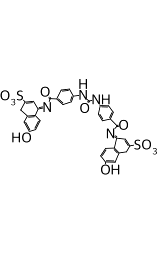 O=C(Nc1ccc(C(=O)N=C2C=C(S(=O)(=O)O)Cc3cc(O)ccc32)cc1)Nc1ccc(C(=O)N=C2C=C(S(=O)(=O)O)Cc3cc(O)ccc32)cc1